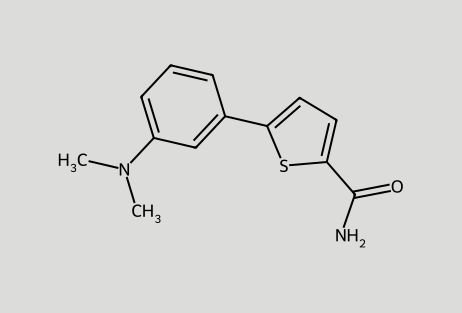 CN(C)c1cccc(-c2ccc(C(N)=O)s2)c1